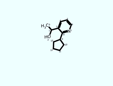 CC(O)c1cccnc1C1CCCC1